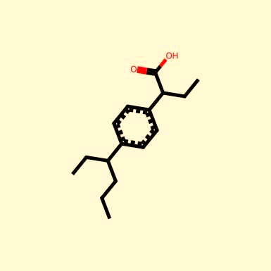 CCCC(CC)c1ccc(C(CC)C(=O)O)cc1